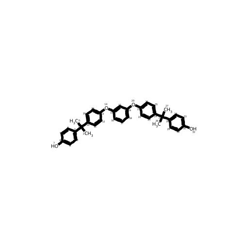 CC(C)(c1ccc(O)cc1)c1ccc(Oc2cccc(Oc3ccc(C(C)(C)c4ccc(O)cc4)cc3)c2)cc1